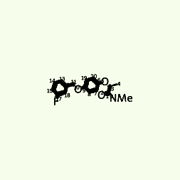 CNC(=O)[C@H](C)Oc1ccc(OCc2cccc(F)c2)cc1